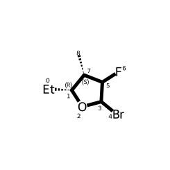 CC[C@H]1OC(Br)C(F)[C@H]1C